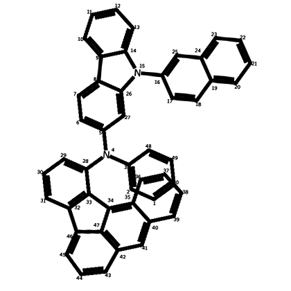 c1ccc(N(c2ccc3c4ccccc4n(-c4ccc5ccccc5c4)c3c2)c2cccc3c2-c2c4ccccc4cc4cccc-3c24)cc1